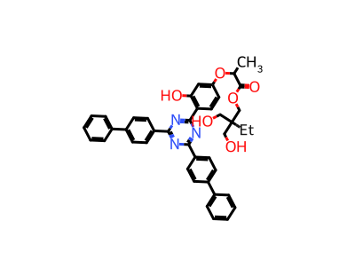 CCC(CO)(CO)COC(=O)C(C)Oc1ccc(-c2nc(-c3ccc(-c4ccccc4)cc3)nc(-c3ccc(-c4ccccc4)cc3)n2)c(O)c1